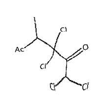 CC(=O)C(I)C(Cl)(Cl)C(=O)C(Cl)Cl